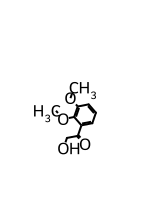 COc1cccc(C(=O)CO)c1OC